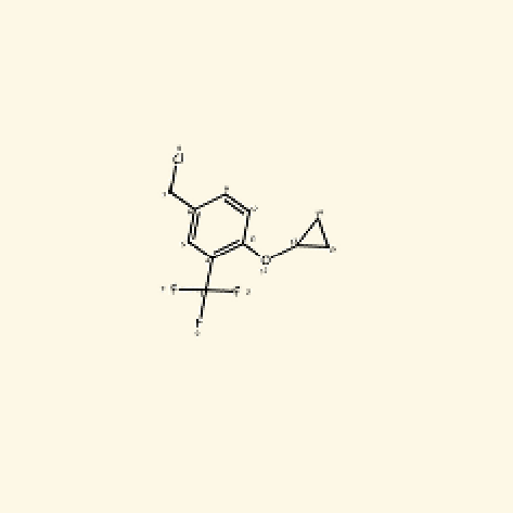 FC(F)(F)c1cc(CCl)ccc1OC1CC1